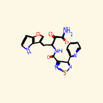 NC(=O)C(=O)C(Cc1coc2cc[nH]c12)NC(=O)c1nsnc1-c1ccccn1